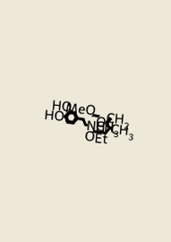 C=C(OCCOC)C(C)CC(C)(CC)C(=O)NCCc1ccc(O)c(O)c1